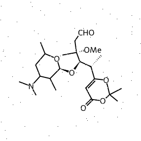 CO[C@](C)(CC=O)[C@H](O[C@@H]1OC(C)CC(N(C)C)C1C)[C@H](C)C1=CC(=O)OC(C)(C)O1